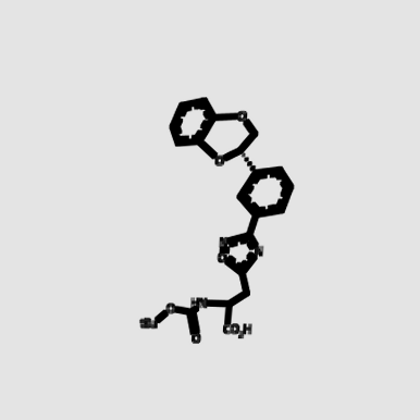 CC(C)(C)OC(=O)NC(Cc1nc(-c2cccc([C@H]3COc4ccccc4O3)c2)no1)C(=O)O